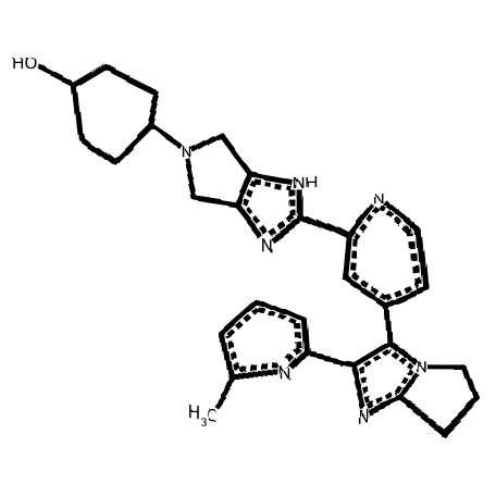 Cc1cccc(-c2nc3n(c2-c2ccnc(-c4nc5c([nH]4)CN(C4CCC(O)CC4)C5)c2)CCC3)n1